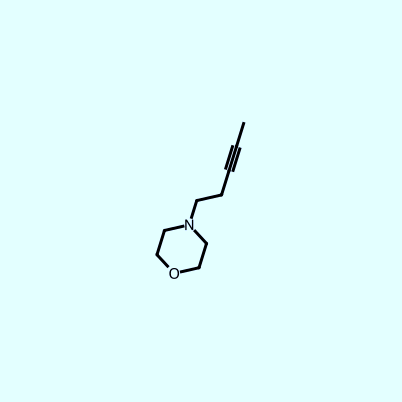 CC#CCCN1CCOCC1